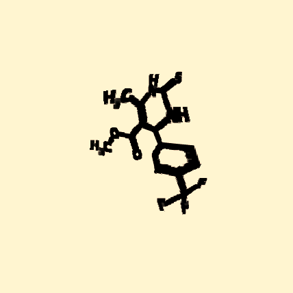 COC(=O)C1=C(C)NC(=S)NC1c1ccc(C(F)(F)F)cc1